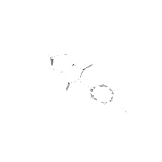 CCOC(=O)C1=NN2C(=O)N(c3ccc(C#N)c(C(F)(F)F)c3)C(=O)C2(C)C1